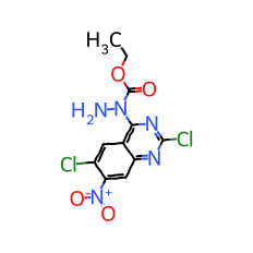 CCOC(=O)N(N)c1nc(Cl)nc2cc([N+](=O)[O-])c(Cl)cc12